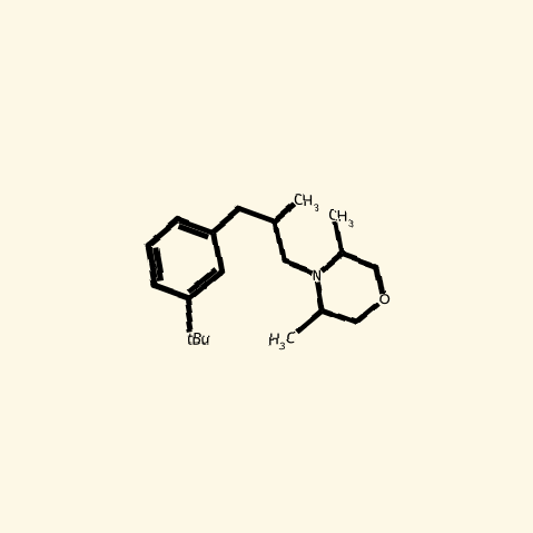 CC(Cc1cccc(C(C)(C)C)c1)CN1C(C)COCC1C